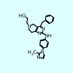 Cc1nccn1-c1ccc(Nc2nc3c(c(Cc4ccccc4)n2)CN(CCO)CC3)cc1